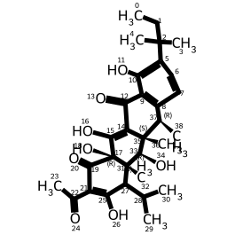 CCC(C)(C)c1ccc2c(c1O)C(=O)C1=C(O)[C@@]3(O)C(=O)C(C(C)=O)=C(O)C(C(C)C)[C@@]3(C)[C@H](O)[C@@]1(C)[C@@H]2C